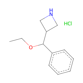 CCOC(c1ccccc1)C1CNC1.Cl